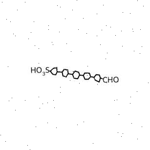 O=CC1CCC(C2CCC(C3CCC(C4CCC(C5CCC(S(=O)(=O)O)CC5)CC4)CC3)CC2)CC1